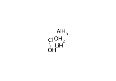 O.OCl.[AlH3].[LiH]